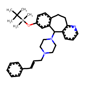 CC(C)(C)[Si](C)(C)Oc1ccc2c(c1)C(N1CCN(C/C=C/c3ccccc3)CC1)c1cccnc1CC2